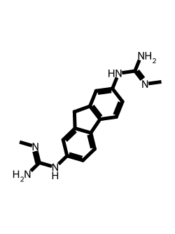 CN=C(N)Nc1ccc2c(c1)Cc1cc(NC(N)=NC)ccc1-2